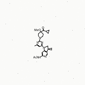 COC1(C(=O)C2CC2)CCN(c2nc(C)cc(N3CC4(CC4)c4cnc(NC(C)=O)cc43)n2)CC1